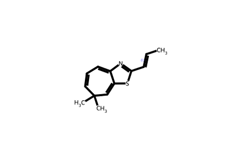 C/C=C/c1nc2c(s1)=CC(C)(C)C=CC=2